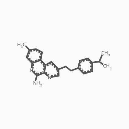 Cc1ccc2c(c1)nc(N)c1ncc(CCc3ccc(C(C)C)cc3)cc12